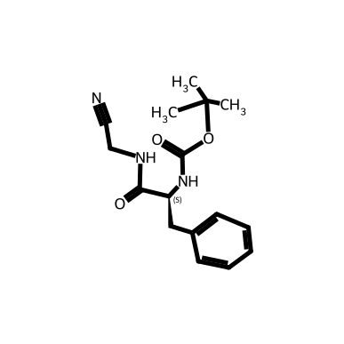 CC(C)(C)OC(=O)N[C@@H](Cc1ccccc1)C(=O)NCC#N